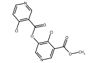 COC(=O)c1cncc(OC(=O)c2cnccc2Cl)c1Cl